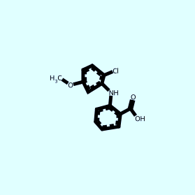 COc1ccc(Cl)c(Nc2ccccc2C(=O)O)c1